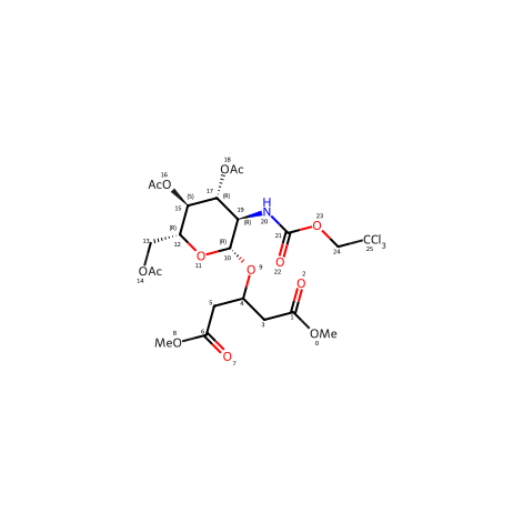 COC(=O)CC(CC(=O)OC)O[C@@H]1O[C@H](COC(C)=O)[C@@H](OC(C)=O)[C@H](OC(C)=O)[C@H]1NC(=O)OCC(Cl)(Cl)Cl